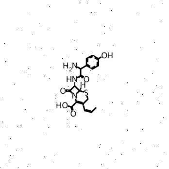 C/C=C\C1=C(C(=O)O)N2C(=O)[C@@H](NC(=O)C(N)c3ccc(O)cc3)[C@@H]2SC1